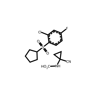 N#CC1(NC(=O)O)CC1.O=S(=O)(c1ccc(F)cc1Cl)C1CCCC1